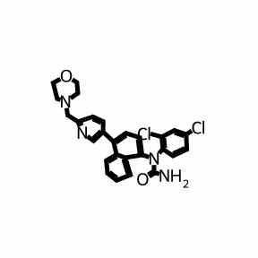 NC(=O)N(c1ccc(Cl)cc1Cl)c1ccc(-c2ccc(CN3CCOCC3)nc2)c2ccccc12